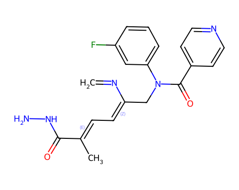 C=N/C(=C\C=C(/C)C(=O)NN)CN(C(=O)c1ccncc1)c1cccc(F)c1